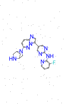 Fc1cccnc1Nc1ncc(-c2cnc3ccc(N4CC5CC4CN5)nn23)cn1